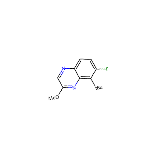 COc1cnc2ccc(F)c(C(C)(C)C)c2n1